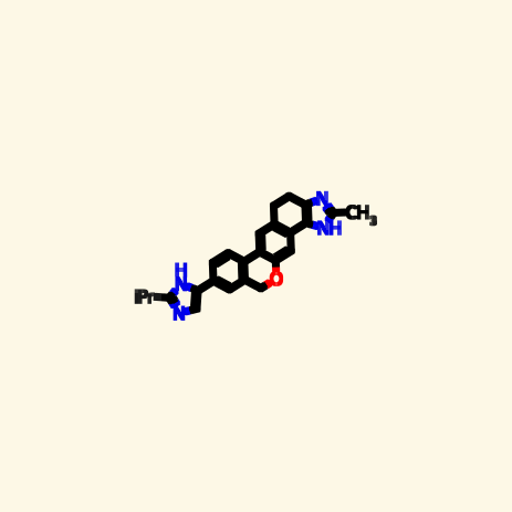 Cc1nc2c([nH]1)-c1cc3c(cc1CC2)-c1ccc(-c2cnc(C(C)C)[nH]2)cc1CO3